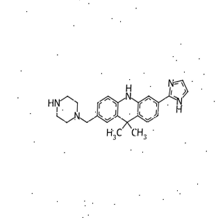 CC1(C)c2ccc(-c3ncc[nH]3)cc2Nc2ccc(CN3CCNCC3)cc21